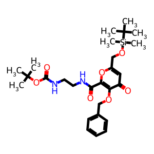 CC(C)(C)OC(=O)NCCNC(=O)c1oc(CO[Si](C)(C)C(C)(C)C)cc(=O)c1OCc1ccccc1